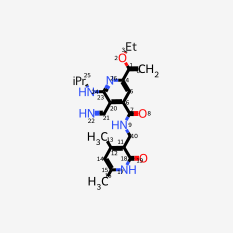 C=C(OCC)c1cc(C(=O)NCc2c(C)cc(C)[nH]c2=O)c(C=N)c(NC(C)C)n1